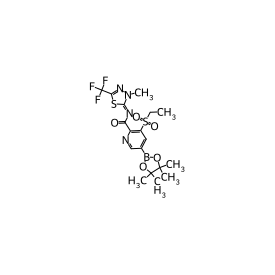 CCS(=O)(=O)c1cc(B2OC(C)(C)C(C)(C)O2)cnc1C(=O)/N=c1\sc(C(F)(F)F)nn1C